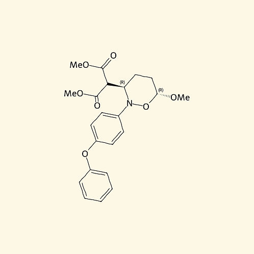 COC(=O)C(C(=O)OC)[C@H]1CC[C@H](OC)ON1c1ccc(Oc2ccccc2)cc1